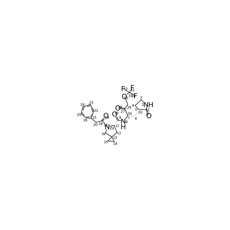 O=C1NCC[C@H]1C[C@H](NC(=O)[C@@H]1CC2(CC2)CN1C(=O)Cc1ccccc1)C(=O)COC(F)(F)F